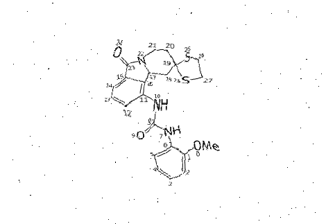 COc1ccccc1NC(=O)Nc1cccc2c1C1CC3(CCN1C2=O)SCCS3